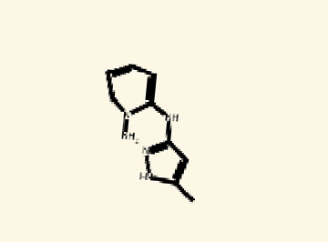 Cc1cc(NC2=CC=CCN2N)n[nH]1